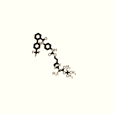 CN(C(=O)OC(C)(C)C)c1nc(CCOC(=O)Nc2ccc(NC(=O)c3ccccc3-c3ccc(C(F)(F)F)cc3)cc2)cs1